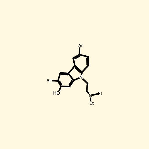 CCN(CC)CCn1c2ccc(C(C)=O)cc2c2cc(C(C)=O)c(O)cc21